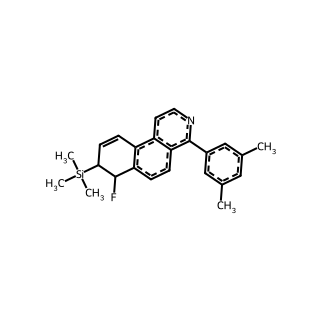 Cc1cc(C)cc(-c2nccc3c4c(ccc23)C(F)C([Si](C)(C)C)C=C4)c1